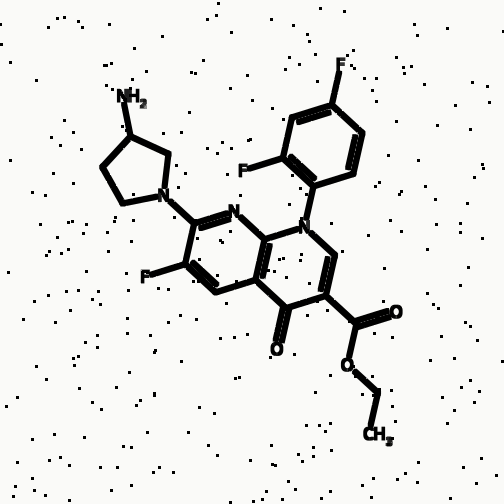 CCOC(=O)c1cn(-c2ccc(F)cc2F)c2nc(N3CCC(N)C3)c(F)cc2c1=O